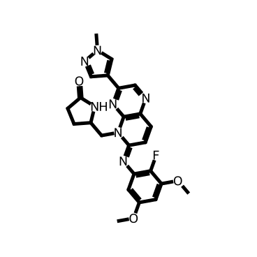 COc1cc(/N=c2\ccc3ncc(-c4cnn(C)c4)nc3n2CC2CCC(=O)N2)c(F)c(OC)c1